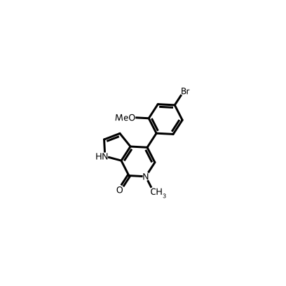 COc1cc(Br)ccc1-c1cn(C)c(=O)c2[nH]ccc12